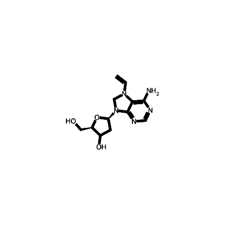 C=CN1CN([C@H]2CC(O)[C@@H](CO)O2)c2ncnc(N)c21